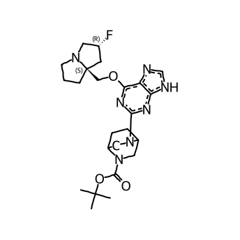 CC(C)(C)OC(=O)N1CC2CCC1CN2c1nc(OC[C@@]23CCCN2C[C@H](F)C3)c2nc[nH]c2n1